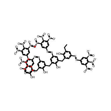 CCc1cc(N=Nc2cc([N+](=O)[O-])c([N+](=O)[O-])c([N+](=O)[O-])c2)cc(Cc2cc(N=Nc3cc([N+](=O)[O-])c([N+](=O)[O-])c([N+](=O)[O-])c3)cc(Cc3cc(N=Nc4cc([N+](=O)[O-])c([N+](=O)[O-])c([N+](=O)[O-])c4)cc(Cc4cc(N=Nc5cc([N+](=O)[O-])c([N+](=O)[O-])c([N+](=O)[O-])c5)ccc4O)c3O)c2O)c1O